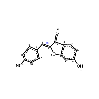 N#Cc1ccc(/C=C2\Oc3cc(O)ccc3C2=O)cc1